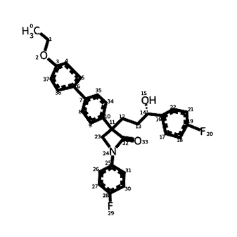 CCOc1ccc(-c2ccc(C3(CC[C@H](O)c4ccc(F)cc4)CN(c4ccc(F)cc4)C3=O)cc2)cc1